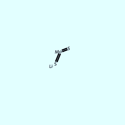 [Li].[S]=[Mo]=[S]